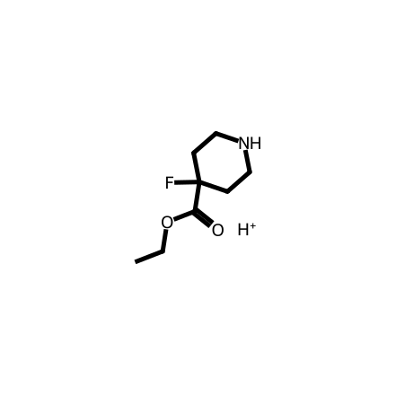 CCOC(=O)C1(F)CCNCC1.[H+]